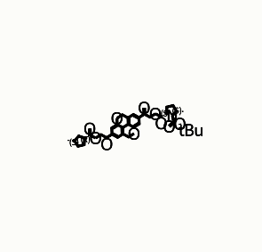 C[C@H]1CC[C@@H](C(=O)OCC(=O)c2cc3c4c(c2)OCc2cc(C(=O)COC(=O)[C@@H]5CC[C@H](C)N5C(=O)OC(C)(C)C)cc(c2-4)OC3)C1